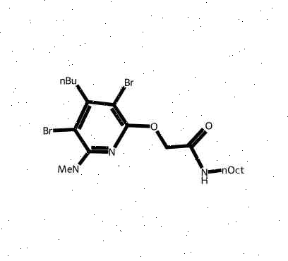 CCCCCCCCNC(=O)COc1nc(NC)c(Br)c(CCCC)c1Br